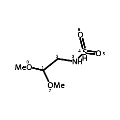 COC(CN[SH](=O)=O)OC